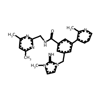 Cc1cc(C)nc(CNC(=O)c2cc(Cn3ccn(C)c3=N)cc(-c3cccnc3C)c2)n1